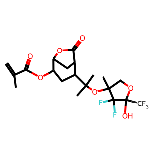 C=C(C)C(=O)OC1CC(C(C)(C)OC2(C)COC(O)(C(F)(F)F)C2(F)F)C2CC1OC2=O